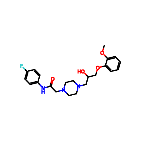 COc1ccccc1OCC(O)CN1CCN(CC(=O)Nc2ccc(F)cc2)CC1